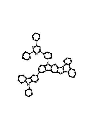 c1ccc(-c2nc(-c3ccccc3)nc(-c3cccc(-n4c5ccc(-c6ccc7c(c6)c6ccccc6n7-c6ccccc6)cc5c5cc6cc7c8ccccc8c8ccccc8n7c6cc54)c3)n2)cc1